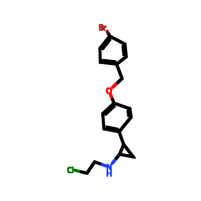 ClCCNC1CC1c1ccc(OCc2ccc(Br)cc2)cc1